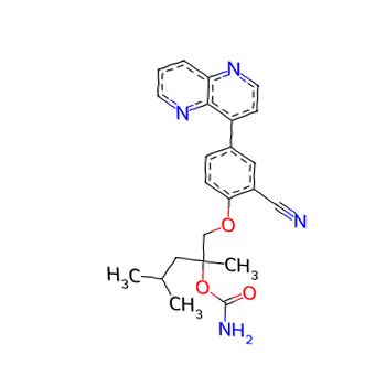 CC(C)CC(C)(COc1ccc(-c2ccnc3cccnc23)cc1C#N)OC(N)=O